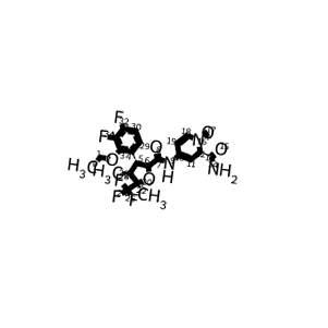 CCOc1c([C@@H]2C(C(=O)NC3=C[C@@H](C(N)=O)[N+](=O)C=C3)O[C@@](C)(C(F)(F)F)[C@H]2C)ccc(F)c1F